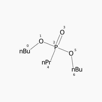 CCCCOP(=O)(CCC)OCCCC